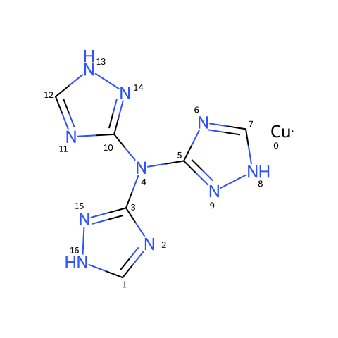 [Cu].c1nc(N(c2nc[nH]n2)c2nc[nH]n2)n[nH]1